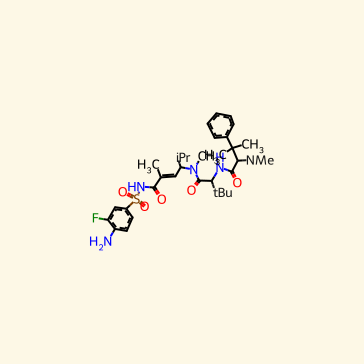 CNC(C(=O)NC(C(=O)N(C)C(/C=C(\C)C(=O)NS(=O)(=O)c1ccc(N)c(F)c1)C(C)C)C(C)(C)C)C(C)(C)c1ccccc1